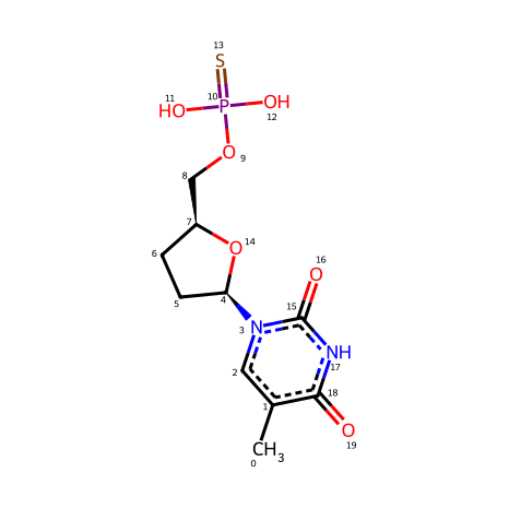 Cc1cn([C@H]2CC[C@@H](COP(O)(O)=S)O2)c(=O)[nH]c1=O